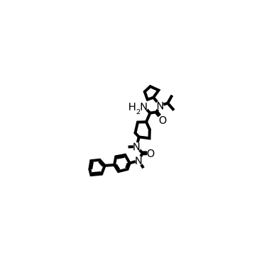 CC(C)N(C(=O)C(N)C1CCC(N(C)C(=O)N(C)c2ccc(-c3ccccc3)cc2)CC1)C1CCCC1